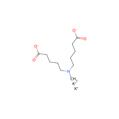 CN(CCCCC(=O)[O-])CCCCC(=O)[O-].[K+].[K+]